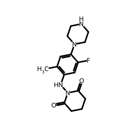 Cc1cc(N2CCNCC2)c(F)cc1NN1C(=O)CCCC1=O